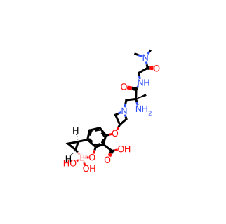 CN(C)C(=O)CNC(=O)[C@](C)(N)CN1CC(Oc2ccc3c(c2C(=O)O)O[B-](O)(O)[C@H]2C[C@@H]32)C1